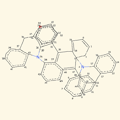 C1=CCC2(N3c4ccccc4Cc4ccccc43)C(=C1)C(c1ccccc1)=c1c(N3c4ccccc4Cc4ccccc43)cccc1=C2c1ccccc1